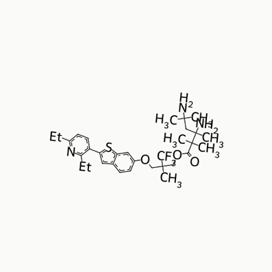 CCc1ccc(-c2cc3ccc(OCC(C)(COC(=O)C(C)(C)C(C)(N)CC(C)(C)N)C(F)(F)F)cc3s2)c(CC)n1